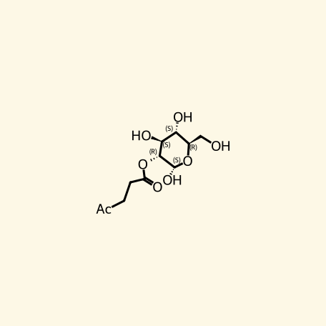 CC(=O)CCC(=O)O[C@@H]1[C@@H](O)[C@H](O)[C@@H](CO)O[C@@H]1O